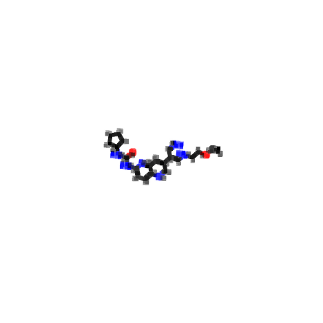 COCCN/C=C(\C=N)c1cnc2ccc(NC(=O)NC3CCCC3)nc2c1